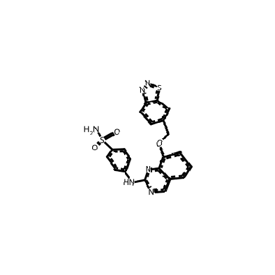 NS(=O)(=O)c1ccc(Nc2ncc3cccc(OCc4ccc5nnsc5c4)c3n2)cc1